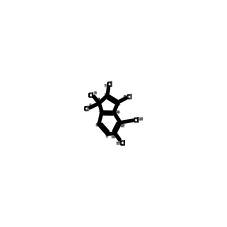 ClC1=C(Cl)C(Cl)(Cl)c2ccc(Cl)c(Cl)c21